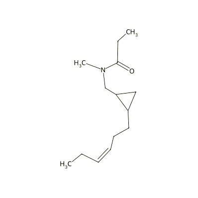 CC/C=C\CCC1CC1CN(C)C(=O)CC